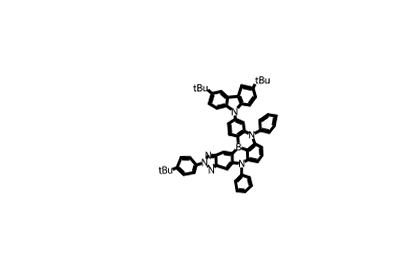 CC(C)(C)c1ccc(-n2nc3cc4c(cc3n2)N(c2ccccc2)c2cccc3c2B4c2ccc(-n4c5ccc(C(C)(C)C)cc5c5cc(C(C)(C)C)ccc54)cc2N3c2ccccc2)cc1